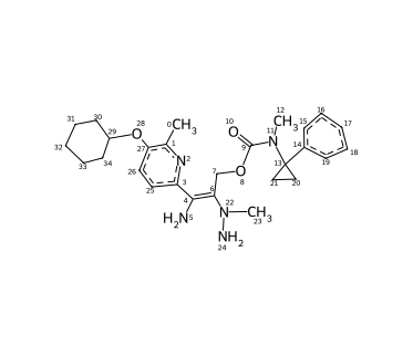 Cc1nc(/C(N)=C(\COC(=O)N(C)C2(c3ccccc3)CC2)N(C)N)ccc1OC1CCCCC1